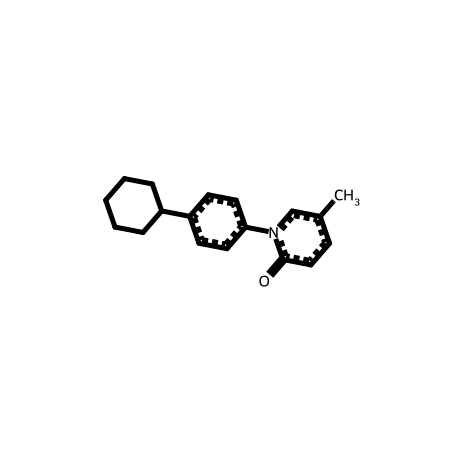 Cc1ccc(=O)n(-c2ccc(C3CCCCC3)cc2)c1